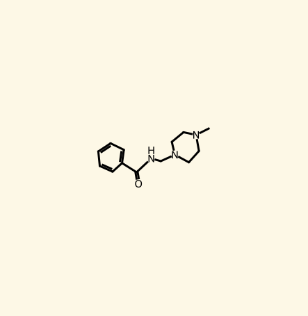 CN1CCN(CNC(=O)c2ccccc2)CC1